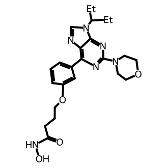 CCC(CC)n1cnc2c(-c3cccc(OCCCC(=O)NO)c3)nc(N3CCOCC3)nc21